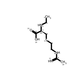 CCN[C@@H](CSCCNC(C)=N)C(=O)O